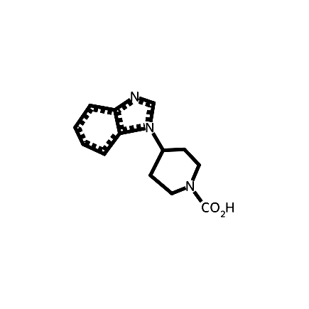 O=C(O)N1CCC(n2cnc3ccccc32)CC1